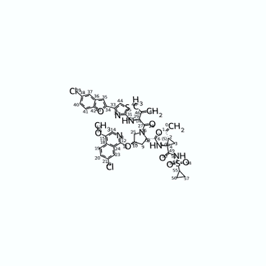 C=C[C@@H]1C[C@]1(NC(=O)[C@@H]1C[C@@H](Oc2ncc(OC)c3ccc(Cl)cc23)CN1C(=O)[C@@H](Nc1nc(-c2cc3cc(Cl)ccc3o2)cs1)C(=C)C)C(=O)NS(=O)(=O)C1CC1